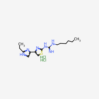 CCCCCCNC(=N)Nc1nc(-c2c[nH]c(CC)n2)cs1.Cl.Cl